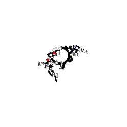 C=CC(=O)N1CCCN(C(=O)N(C)[C@H](C(=O)N[C@H]2Cc3nc(cs3)-c3ccc4c(c3)c(c(/C(C=C)=C(/N=C\C)[C@H](C)OC)n4CC)CC(C)(C)COC(=O)[C@@]3(O)CCCN(N3)C2=O)C(C)C)C1